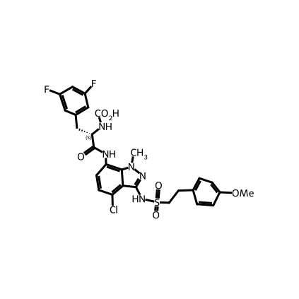 COc1ccc(CCS(=O)(=O)Nc2nn(C)c3c(NC(=O)[C@H](Cc4cc(F)cc(F)c4)NC(=O)O)ccc(Cl)c23)cc1